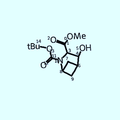 COC(=O)C1C(O)C2CC(C2)N1C(=O)OC(C)(C)C